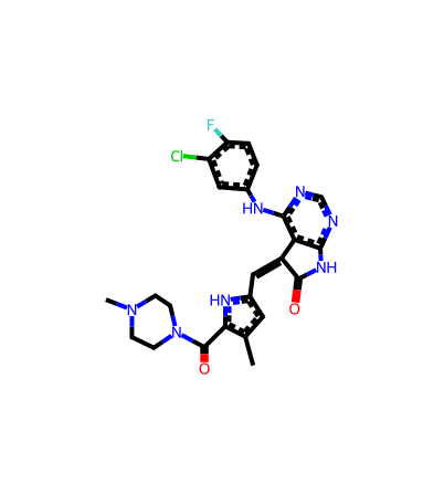 Cc1cc(C=C2C(=O)Nc3ncnc(Nc4ccc(F)c(Cl)c4)c32)[nH]c1C(=O)N1CCN(C)CC1